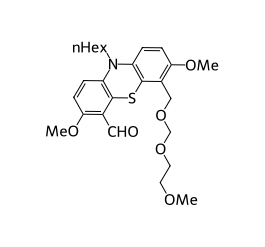 CCCCCCN1c2ccc(OC)c(C=O)c2Sc2c1ccc(OC)c2COCOCCOC